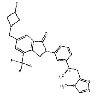 C[C@H](Cc1nncn1C)c1cccc(N2Cc3c(cc(CN4CC(F)C4)cc3C(F)(F)F)C2=O)c1